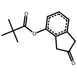 CC(C)(C)C(=O)Oc1cccc2c1CC(=O)C2